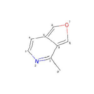 Cc1nccc2cocc12